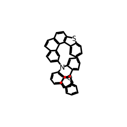 c1ccc(-c2ccccc2N(c2ccc3ccc4ccc5sc6ccccc6c5c4c3c2)c2cccc3c2oc2ccccc23)cc1